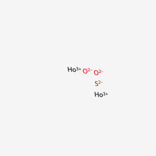 [Ho+3].[Ho+3].[O-2].[O-2].[S-2]